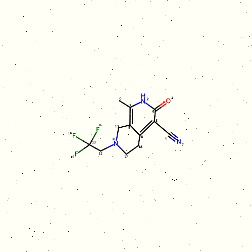 Cc1[nH]c(=O)c(C#N)c2c1CN(CC(F)(F)F)CC2